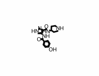 O=C(Nc1c[nH]nc1C(=O)NC1CCNCC1)c1ccc(O)cc1